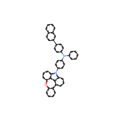 c1ccc(N(c2ccc(-c3ccc4ccccc4c3)cc2)c2ccc(-n3c4cccc5oc6ccccc6c6cccc3c6c54)cc2)cc1